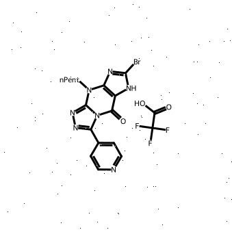 CCCCCn1c2nc(Br)[nH]c2c(=O)n2c(-c3ccncc3)nnc12.O=C(O)C(F)(F)F